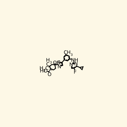 Cc1cc(Nc2ncc(F)c(C3CC3)n2)cc(-c2cnc([C@@]3(O)CC[C@@H](C(=O)O)C(C)(C)C3)s2)c1